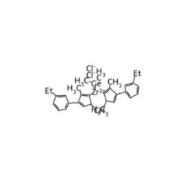 CCc1cccc(C2=CC(C)[C]([Zr+2]([C]3=C(C)C(c4cccc(CC)c4)=CC3C)=[Ge]([CH3])[CH3])=C2C)c1.[Cl-].[Cl-]